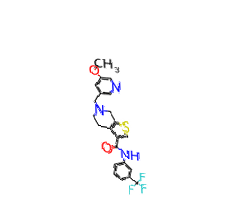 COc1cncc(CN2CCc3c(C(=O)Nc4cccc(C(F)(F)F)c4)csc3C2)c1